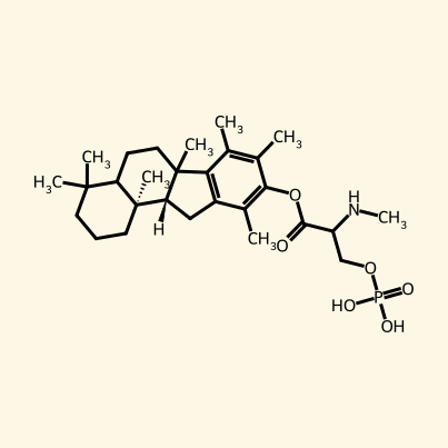 CNC(COP(=O)(O)O)C(=O)Oc1c(C)c(C)c2c(c1C)C[C@H]1C2(C)CCC2C(C)(C)CCC[C@@]21C